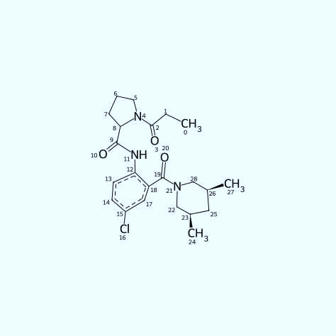 CCC(=O)N1CCCC1C(=O)Nc1ccc(Cl)cc1C(=O)N1C[C@H](C)C[C@H](C)C1